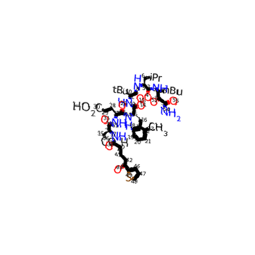 CCCCC(NC(=O)[C@H](CC(C)C)NC(=O)[C@@H](NC(=O)[C@H](Cc1ccccc1C)NC(=O)[C@H](CCC(=O)O)NC(=O)[C@H](CC(=O)O)NC(=O)CCCC(=O)c1cccs1)C(C)(C)C)C(=O)C(N)=O